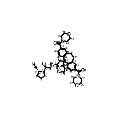 N#C[C@@H]1CCCN1C(=O)CNCCC1(c2nnn[nH]2)c2ccc(C(=O)N3CCOCC3)cc2CCc2cc(C(=O)N3CCOCC3)ccc21